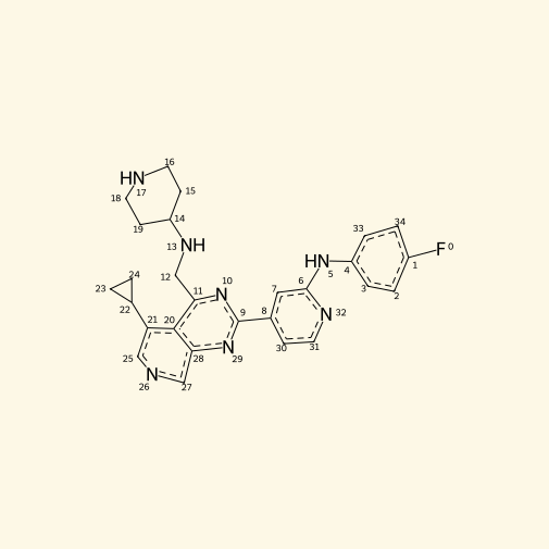 Fc1ccc(Nc2cc(-c3nc(CNC4CCNCC4)c4c(C5CC5)cncc4n3)ccn2)cc1